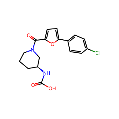 O=C(O)N[C@H]1CCCN(C(=O)c2ccc(-c3ccc(Cl)cc3)o2)C1